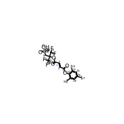 O=C(/C=C/C(=O)OC(CS(=O)(=O)O)(C(F)(F)F)C(F)(F)F)Oc1c(I)cc(I)cc1I